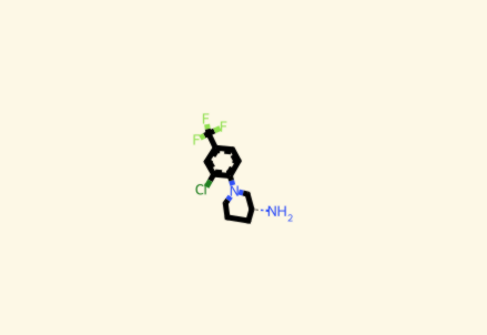 N[C@@H]1CCCN(c2ccc(C(F)(F)F)cc2Cl)C1